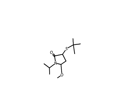 COC1CC(SC(C)(C)C)C(=O)N1C(C)C